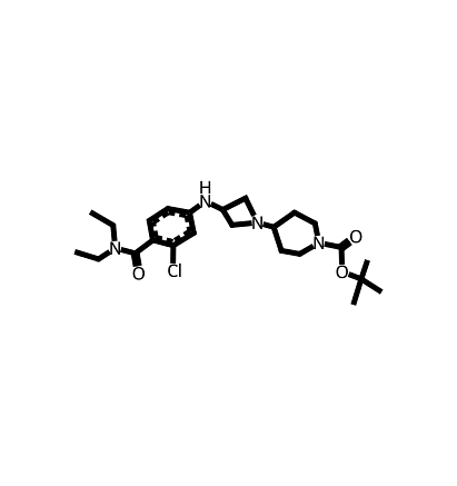 CCN(CC)C(=O)c1ccc(NC2CN(C3CCN(C(=O)OC(C)(C)C)CC3)C2)cc1Cl